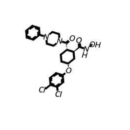 O=C(NO)[C@H]1C[C@H](Oc2ccc(Cl)c(Cl)c2)CC[C@@H]1C(=O)N1CCN(c2ccccc2)CC1